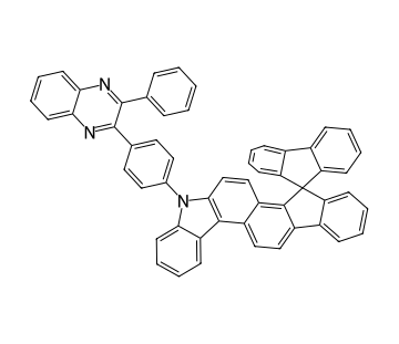 c1ccc(-c2nc3ccccc3nc2-c2ccc(-n3c4ccccc4c4c5ccc6c(c5ccc43)C3(c4ccccc4-c4ccccc43)c3ccccc3-6)cc2)cc1